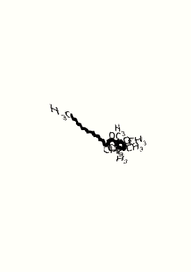 CCCCCCCCCCCCCCC[C@]1(C)CC(=O)c2c(C)c(OC)c(C)c(C)c2O1